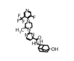 C[C@@H]1CN(c2c(F)cncc2C(F)(F)F)CCN1c1nccc(C(=O)N[C@H]2C3CC4CC2C[C@](O)(C4)C3)n1